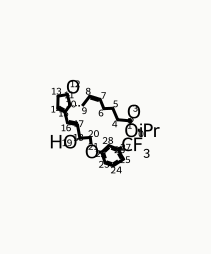 CC(C)OC(=O)CCC/C=C\C[C@H]1C(=O)CC=C1/C=C/[C@@H](O)COc1cccc(C(F)(F)F)c1